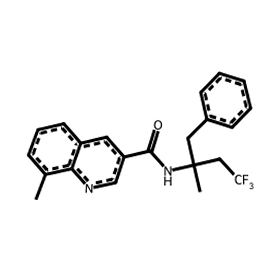 Cc1cccc2cc(C(=O)NC(C)(Cc3ccccc3)CC(F)(F)F)cnc12